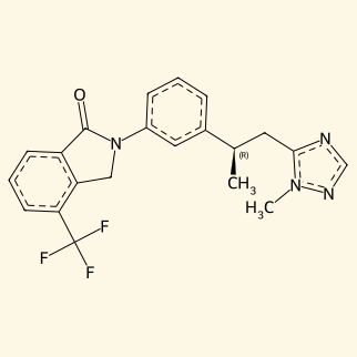 C[C@H](Cc1ncnn1C)c1cccc(N2Cc3c(cccc3C(F)(F)F)C2=O)c1